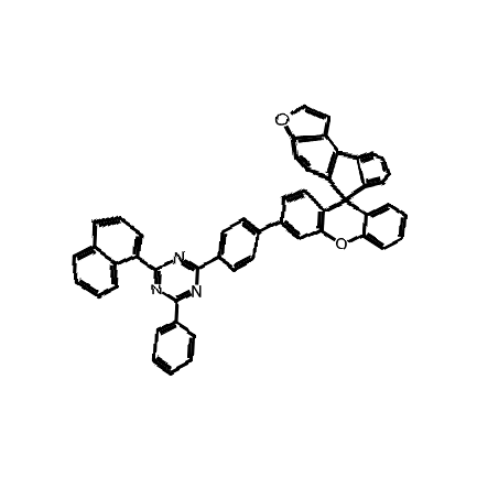 c1ccc(-c2nc(-c3ccc(-c4ccc5c(c4)Oc4ccccc4C54c5ccccc5-c5c4ccc4occc54)cc3)nc(-c3cccc4ccccc34)n2)cc1